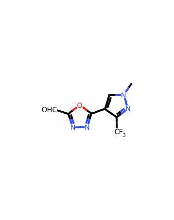 Cn1cc(-c2nnc(C=O)o2)c(C(F)(F)F)n1